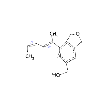 C/C=C\C=C(/C)c1nc(CO)cc2c1COC2